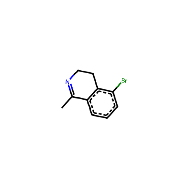 CC1=NCCc2c(Br)cccc21